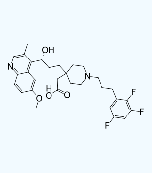 COc1ccc2ncc(C)c([C@H](O)CCC3(CC(=O)O)CCN(CCCc4cc(F)cc(F)c4F)CC3)c2c1